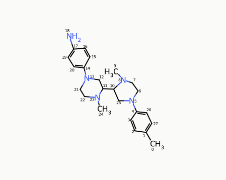 Cc1ccc(N2CCN(C)C(C3CN(c4ccc(N)cc4)CCN3C)C2)cc1